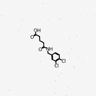 O=C(O)CCCC(=O)NCc1ccc(Cl)c(Cl)c1